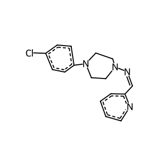 Clc1ccc(N2CCN(/N=C\c3ccccn3)CC2)cc1